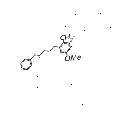 [CH2]c1ccc(OC)cc1CCC[CH][CH]c1ccccc1